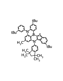 Cc1cc2c3c(c1)N(c1ccc4c(c1)C(C)(C)CC4(C)C)c1c(sc4ccc(C(C)(C)C)cc14)B3c1ccc(C(C)(C)C)cc1N2c1cccc(C(C)(C)C)c1